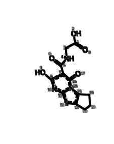 O=C(O)CNC(=O)c1c(O)nc2sc3c(n2c1=O)CCC3